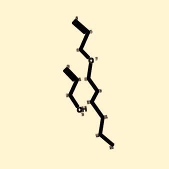 C=CCO.C=CCOCCCCCC